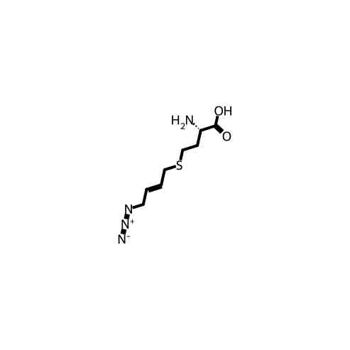 [N-]=[N+]=NC/C=C/CSCC[C@H](N)C(=O)O